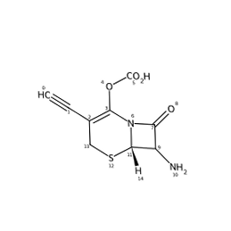 C#CC1=C(OC(=O)O)N2C(=O)C(N)[C@@H]2SC1